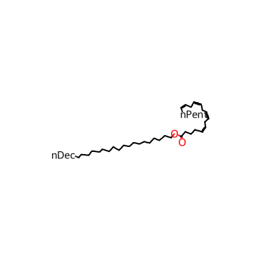 CCCCC/C=C\C/C=C\C/C=C\C/C=C\CCCC(=O)OCCCCCCCCCCCCCCCCCCCCCCCCCCCCC